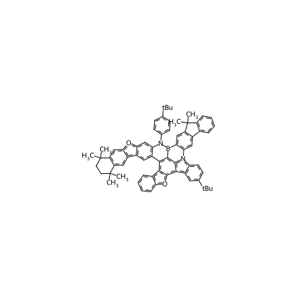 CC(C)(C)c1ccc(N2B3c4cc5c(cc4-n4c6ccc(C(C)(C)C)cc6c6c7oc8ccccc8c7c(c3c64)-c3cc4c(cc32)oc2cc3c(cc24)C(C)(C)CCC3(C)C)-c2ccccc2C5(C)C)cc1